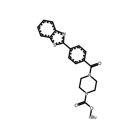 CCCCOC(=O)N1CCN(C(=O)c2ccc(-c3nc4ccccc4s3)cc2)CC1